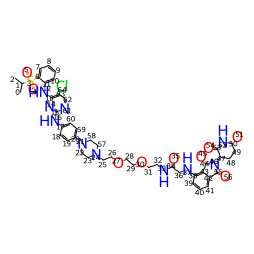 CC(C)S(=O)(=O)c1ccccc1Nc1nc(Nc2ccc(N3CCN(CCOCCOCCNC(=O)CNc4cccc5c4C(=O)N(C4CCC(=O)NC4=O)C5=O)CC3)cc2)ncc1Cl